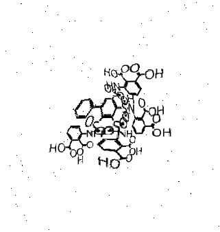 O=C(O)c1cccc(NS(=O)(=O)c2cc(-c3ccccc3)c(S(=O)(=O)Nc3cccc(C(=O)O)c3C(=O)O)c(S(=O)(=O)Nc3cccc(C(=O)O)c3C(=O)O)c2S(=O)(=O)Nc2cccc(C(=O)O)c2C(=O)O)c1C(=O)O